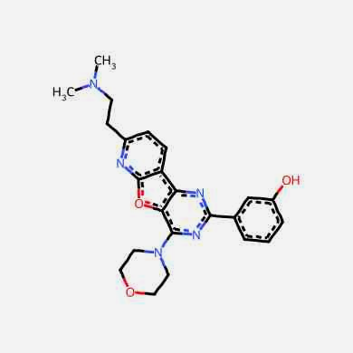 CN(C)CCc1ccc2c(n1)oc1c(N3CCOCC3)nc(-c3cccc(O)c3)nc12